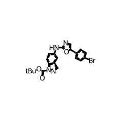 CC(C)(C)OC(=O)n1ncc2cc(Nc3ncc(-c4ccc(Br)cc4)o3)ccc21